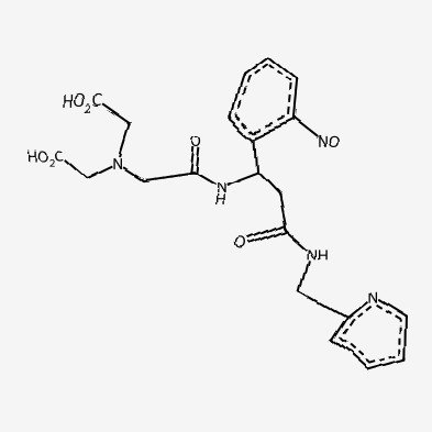 O=Nc1ccccc1C(CC(=O)NCc1ccccn1)NC(=O)CN(CC(=O)O)CC(=O)O